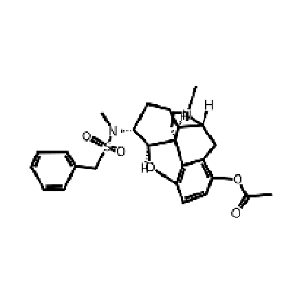 CC(=O)Oc1ccc2c3c1C[C@@H]1[C@@H]4CC[C@@H](N(C)S(=O)(=O)Cc5ccccc5)[C@H](O2)[C@]34CCN1C